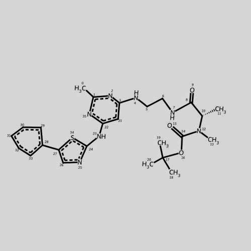 Cc1nc(NCCNC(=O)[C@H](C)N(C)C(=O)OC(C)(C)C)cc(Nc2ncc(-c3ccccc3)s2)n1